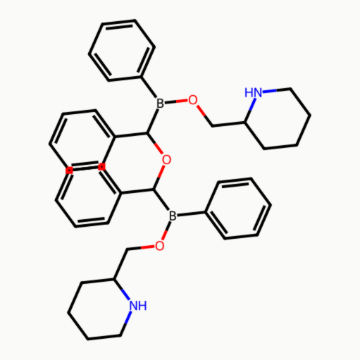 c1ccc(B(OCC2CCCCN2)C(OC(B(OCC2CCCCN2)c2ccccc2)c2ccccc2)c2ccccc2)cc1